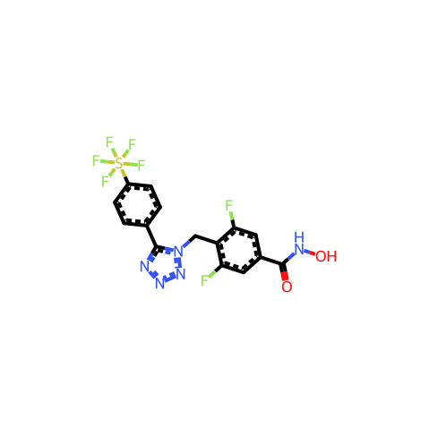 O=C(NO)c1cc(F)c(Cn2nnnc2-c2ccc(S(F)(F)(F)(F)F)cc2)c(F)c1